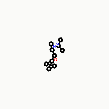 c1ccc(-c2cc(-c3ccccc3)nc(-n3c4ccccc4c4ccc(-c5ccc6oc7cc8c(cc7c6c5)-c5ccccc5C85c6ccccc6-c6ccccc65)cc43)c2)cc1